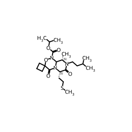 CSCC[C@H]1C(=O)N(CCC(C)C)[C@@H](C)C2N(C(=O)OC(C)C)OC3(CCC3)C(=O)N21